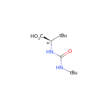 CC(C)(C)NC(=O)N[C@@H](C(=O)O)C(C)(C)C